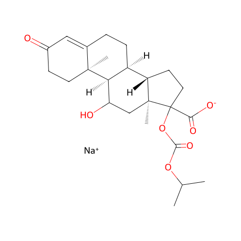 CC(C)OC(=O)OC1(C(=O)[O-])CC[C@H]2[C@@H]3CCC4=CC(=O)CC[C@]4(C)[C@@H]3C(O)C[C@@]21C.[Na+]